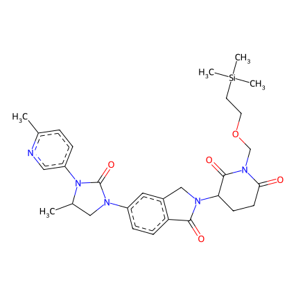 Cc1ccc(N2C(=O)N(c3ccc4c(c3)CN(C3CCC(=O)N(COCC[Si](C)(C)C)C3=O)C4=O)CC2C)cn1